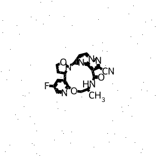 CC1COc2ncc(F)cc2C2CCON2c2ccn3nc(C#N)c(c3n2)C(=O)N1